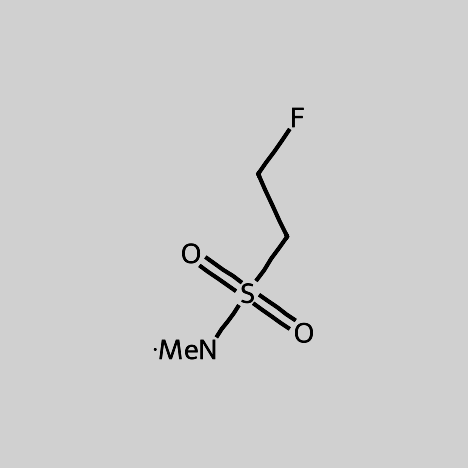 C[N]S(=O)(=O)CCF